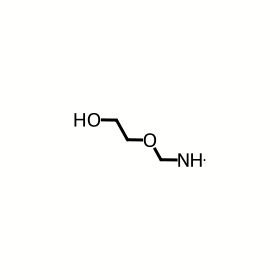 [NH]COCCO